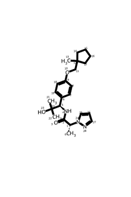 C[C@H](C(=O)N[C@H](c1ccc(OCC2(C)CCCC2)cc1)C(C)(C)O)n1cccn1